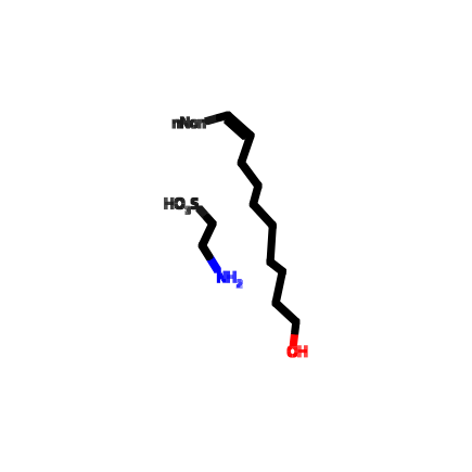 CCCCCCCCC/C=C\CCCCCCCCO.NCCS(=O)(=O)O